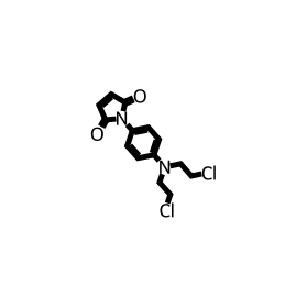 O=C1C=CC(=O)N1c1ccc(N(CCCl)CCCl)cc1